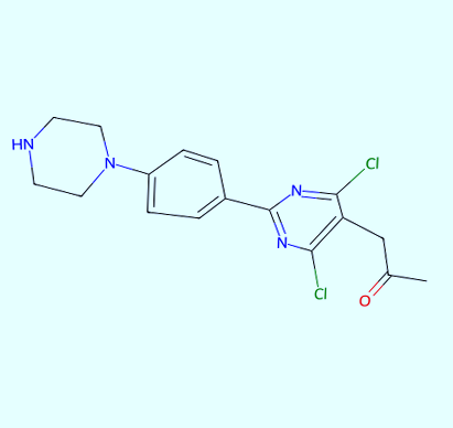 CC(=O)Cc1c(Cl)nc(-c2ccc(N3CCNCC3)cc2)nc1Cl